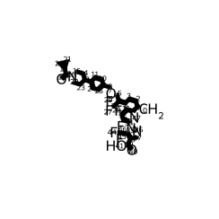 C=C(/C=C\C=C(/COCc1ccc(C2CCN(C(=O)C3CC3)CC2)cc1)C(F)(F)F)c1cccc(-n2ncc(C(=O)O)c2C(F)(F)F)n1